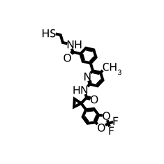 Cc1ccc(NC(=O)C2(c3ccc4c(c3)OC(F)(F)O4)CC2)nc1-c1cccc(C(=O)NCCS)c1